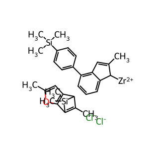 CC1=C2c3oc(C)cc3C1[Si]2(C)C.CC1=Cc2c(-c3ccc([Si](C)(C)C)cc3)cccc2[CH]1[Zr+2].[Cl-].[Cl-]